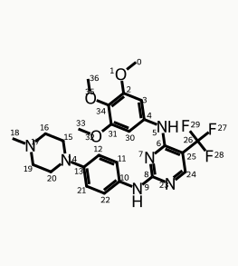 COc1cc(Nc2nc(Nc3ccc(N4CCN(C)CC4)cc3)ncc2C(F)(F)F)cc(OC)c1OC